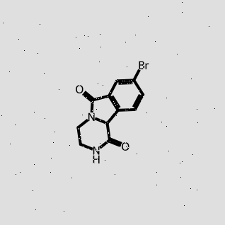 O=C1NCCN2C(=O)c3cc(Br)ccc3C12